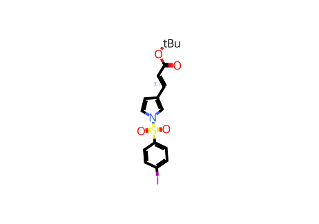 CC(C)(C)OC(=O)/C=C/c1ccn(S(=O)(=O)c2ccc(I)cc2)c1